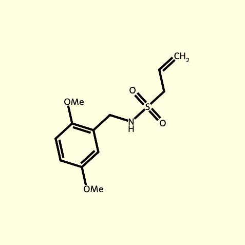 C=CCS(=O)(=O)NCc1cc(OC)ccc1OC